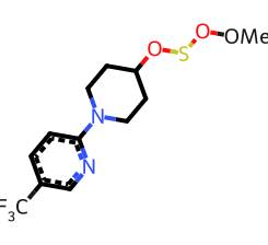 COOSOC1CCN(c2ccc(C(F)(F)F)cn2)CC1